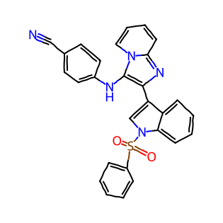 N#Cc1ccc(Nc2c(-c3cn(S(=O)(=O)c4ccccc4)c4ccccc34)nc3ccccn23)cc1